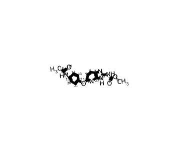 COC(=O)Nc1nc2ccc(Oc3ccc(NC(C)=O)cc3)nc2[nH]1